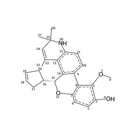 COc1c(O)ccc2c1-c1ccc3c(c1[C@@H](C1CC=CC1)O2)C(C)=CC(C)(C)N3